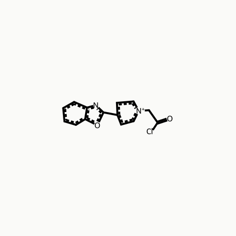 O=C(Cl)C[n+]1ccc(-c2nc3ccccc3o2)cc1